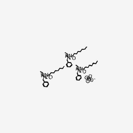 CCCCCCCC(=O)N[N+](C)(CCC)Cc1ccccc1.CCCCCCCC(=O)N[N+](C)(CCC)Cc1ccccc1.CCCCCCCC(=O)N[N+](C)(CCC)Cc1ccccc1.O=P([O-])([O-])[O-]